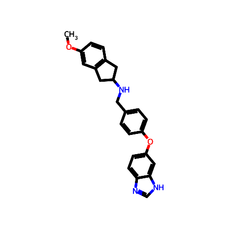 COc1ccc2c(c1)CC(NCc1ccc(Oc3ccc4nc[nH]c4c3)cc1)C2